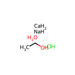 CCO.Cl.O.[CaH2].[NaH]